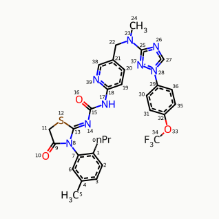 CCCc1ccc(C)cc1N1C(=O)CSC1=NC(=O)Nc1ccc(CN(C)c2ncn(-c3ccc(OC(F)(F)F)cc3)n2)cn1